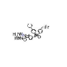 CC(C)Cc1ccc(C(=O)N(Cc2ccc(C(=O)N/C(N=N)=N/N)cc2)c2ccc(C3CCCCC3)cc2)cc1